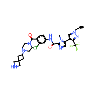 C#CCn1cc(-c2cnc(C(=O)Nc3ccc(C(=O)N4CCN(C5CC6(CNC6)C5)CC4)c(Cl)c3)n2C)c(C(F)(F)F)n1